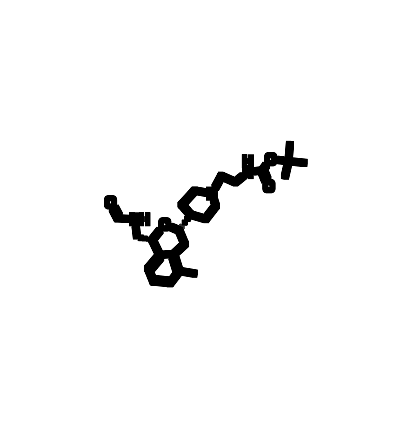 Cc1cccc2c1C[C@@H](C1CCN(CCNC(=O)OC(C)(C)C)CC1)O[C@H]2CNC=O